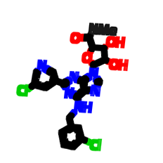 CNC(=O)C1OC(n2cnc3c(NCc4cccc(Cl)c4)nc(-c4cncc(Cl)c4)nc32)C(O)C1O